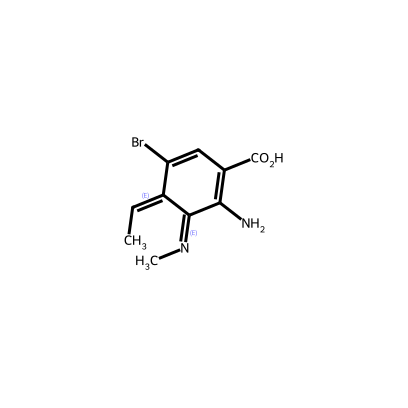 C/C=C1/C(Br)=CC(C(=O)O)=C(N)/C1=N/C